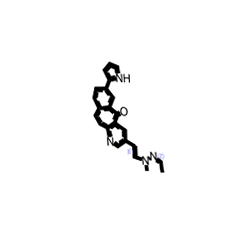 C/C=N\N(C)/C=C/c1cnc2ccc3ccc(-c4ccc[nH]4)cc3c(=O)c2c1